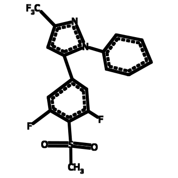 CS(=O)(=O)c1c(F)cc(-c2cc(C(F)(F)F)nn2-c2ccccc2)cc1F